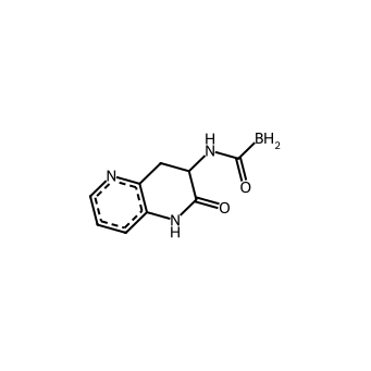 BC(=O)NC1Cc2ncccc2NC1=O